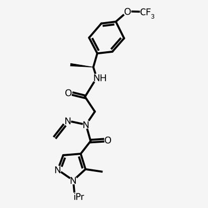 C=NN(CC(=O)N[C@@H](C)c1ccc(OC(F)(F)F)cc1)C(=O)c1cnn(C(C)C)c1C